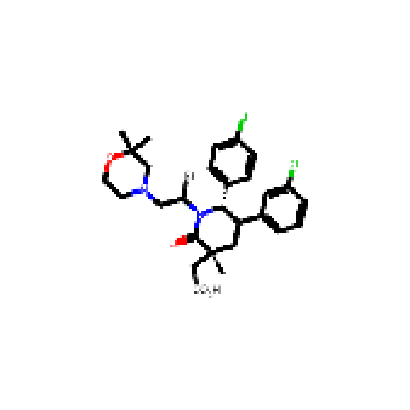 CCC(CN1CCOC(C)(C)C1)N1C(=O)[C@@](C)(CC(=O)O)CC(c2cccc(Cl)c2)[C@H]1c1ccc(Cl)cc1